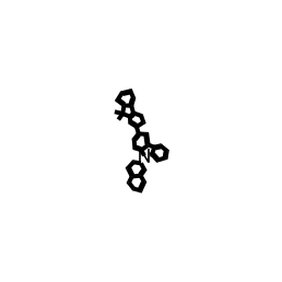 CC1(C)C2=C(CCC(c3ccc4c(c3)c3ccccc3n4C3C=C4C=CCCC4=CC3)=C2)c2ccccc21